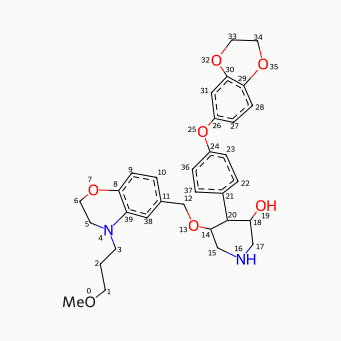 COCCCN1CCOc2ccc(COC3CNCC(O)C3c3ccc(Oc4ccc5c(c4)OCCO5)cc3)cc21